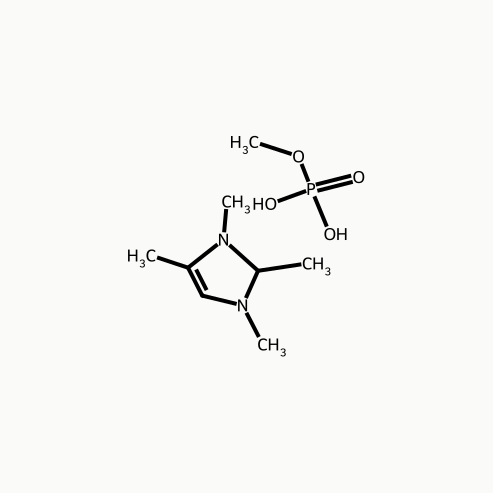 CC1=CN(C)C(C)N1C.COP(=O)(O)O